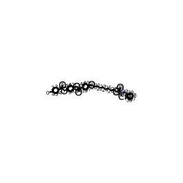 Cc1ccc(C(=O)Oc2ccc(OC(=O)c3ccc(OCCCCCCCCOC(=O)/C(C#N)=C/c4ccccc4)cc3)cc2)cc1